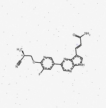 C[C@H](C#N)COc1ncc(-c2cnc3[nH]cc(/C=C/C(N)=O)c3n2)cc1F